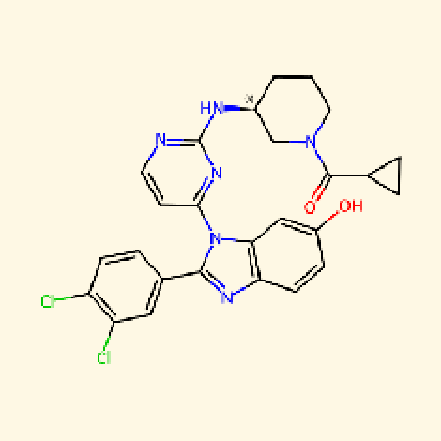 O=C(C1CC1)N1CCC[C@H](Nc2nccc(-n3c(-c4ccc(Cl)c(Cl)c4)nc4ccc(O)cc43)n2)C1